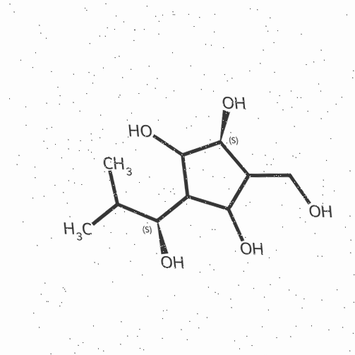 CC(C)[C@H](O)C1C(O)C(CO)[C@H](O)C1O